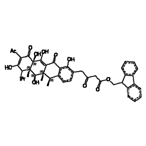 CC(=O)C1=C(O)C(C(C)C)[C@@]2(C)[C@H](O)[C@]3(C)C(=C(O)[C@@]2(O)C1=O)C(=O)c1c(ccc(CC(=O)CC(=O)OCC2c4ccccc4-c4ccccc42)c1O)[C@H]3C